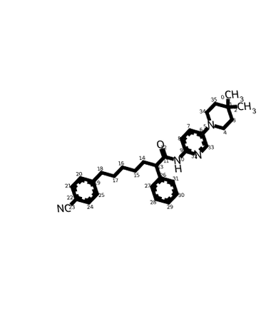 CC1(C)CCN(c2ccc(NC(=O)C(CCCCCc3ccc(C#N)cc3)c3ccccc3)nc2)CC1